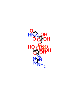 Nc1ncnc2c1ncn2[C@@H]1O[C@H](CO)[C@@H](OP(=O)(OC[C@H]2O[C@@H](n3ccc(=O)[nH]c3=O)[C@H](O)[C@@H]2O)OP(=O)(O)O)[C@H]1O